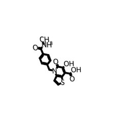 CNC(=O)c1ccc(Cn2c(=O)c(O)c(C(=O)O)c3sccc32)cc1